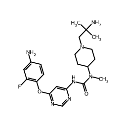 CN(C(=O)Nc1cc(Oc2ccc(N)cc2F)ncn1)C1CCN(CC(C)(C)N)CC1